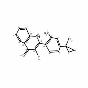 Cc1cc(C2(C(F)(F)F)CC2)ccc1-c1[nH]c2ccncc2c(=O)c1Cl